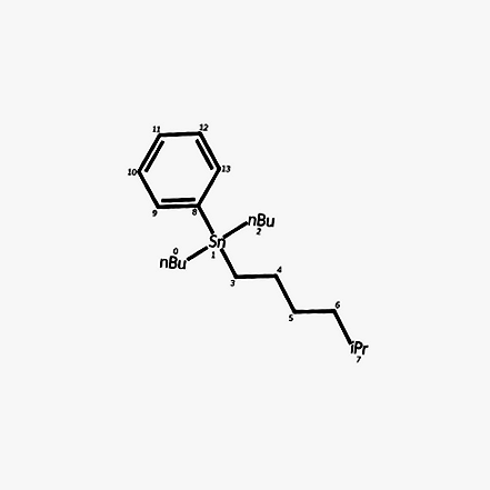 CCC[CH2][Sn]([CH2]CCC)([CH2]CCCC(C)C)[c]1ccccc1